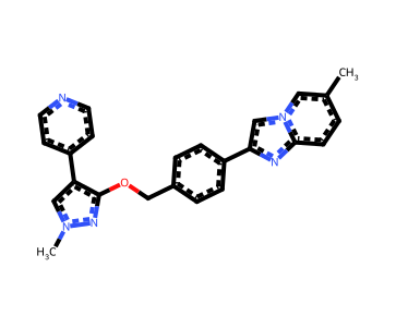 Cc1ccc2nc(-c3ccc(COc4nn(C)cc4-c4ccncc4)cc3)cn2c1